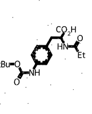 CCC(=O)NC(Cc1ccc(NC(=O)OC(C)(C)C)cc1)C(=O)O